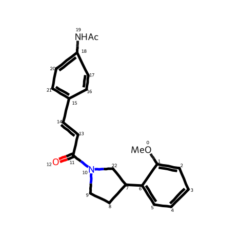 COc1ccccc1C1CCN(C(=O)/C=C/c2ccc(NC(C)=O)cc2)C1